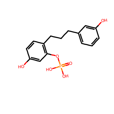 O=P(O)(O)Oc1cc(O)ccc1CCCc1cccc(O)c1